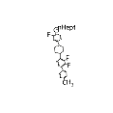 CCCCCCCOc1ccc(C2CCC(c3ccc(-c4ccc(C)cc4)c(F)c3F)CC2)cc1F